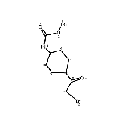 CC(C)(C)OC(=O)NC1CCC(C(=O)CBr)CC1